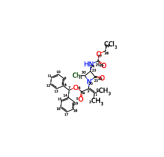 CC(C)=C(C(=O)OC(c1ccccc1)c1ccccc1)N1C(=O)[C@H](NC(=O)OCC(Cl)(Cl)Cl)C1Cl